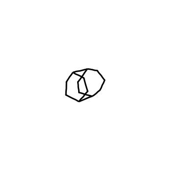 C1CC2CCC(C1)C1CCC2CC1